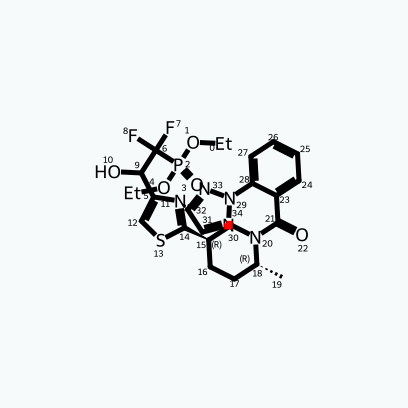 CCOP(=O)(OCC)C(F)(F)C(O)c1csc([C@@H]2CC[C@@H](C)N(C(=O)c3ccccc3-n3nccn3)C2)n1